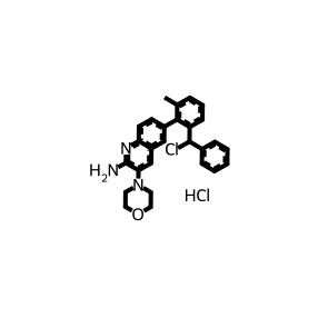 Cc1cccc(C(Cl)c2ccccc2)c1-c1ccc2nc(N)c(N3CCOCC3)cc2c1.Cl